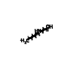 [CH2]CCCCCCNCCCO